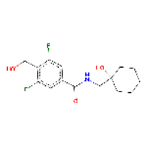 O=C(NCC1(O)CCCCC1)c1cc(F)c(CO)c(F)c1